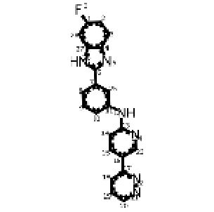 Fc1ccc2nc(-c3cccc(Nc4ccc(-c5cccnn5)cn4)c3)[nH]c2c1